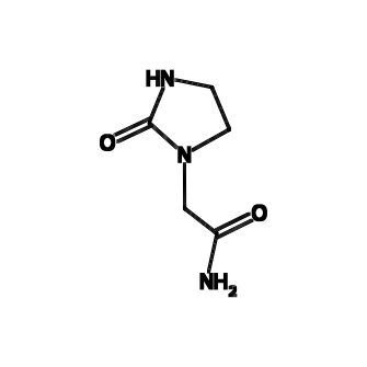 NC(=O)CN1CCNC1=O